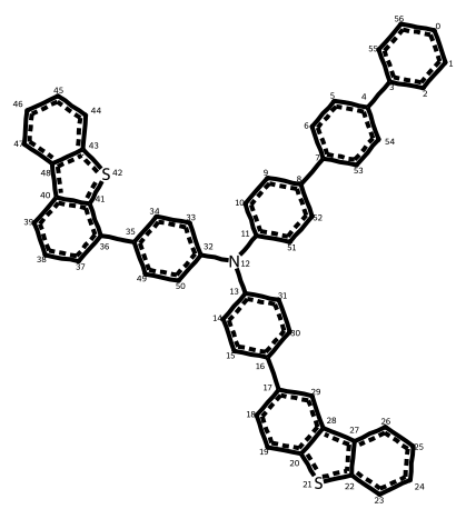 c1ccc(-c2ccc(-c3ccc(N(c4ccc(-c5ccc6sc7ccccc7c6c5)cc4)c4ccc(-c5cccc6c5sc5ccccc56)cc4)cc3)cc2)cc1